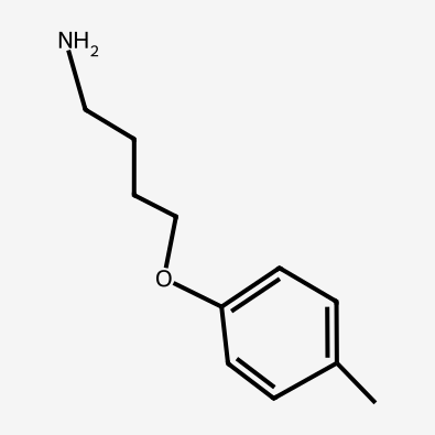 Cc1ccc(OCCCCN)cc1